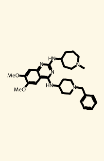 COc1cc2nc(NC3CCCN(C)CC3)nc(NC3CCN(Cc4ccccc4)CC3)c2cc1OC